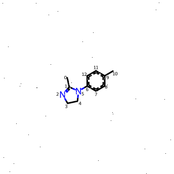 CC1=NCCN1c1ccc(C)cc1